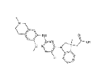 COc1cc2c(cc1Nc1ncc(Cl)c(N3CC(C)(CC(=O)O)c4ccccc43)n1)CN(C)CC2